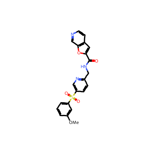 COc1cccc(S(=O)(=O)c2ccc(CNC(=O)c3cc4ccncc4o3)nc2)c1